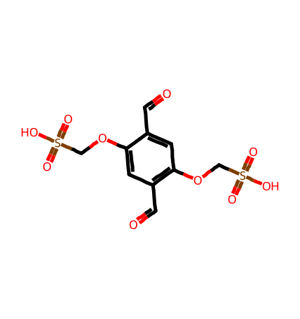 O=Cc1cc(OCS(=O)(=O)O)c(C=O)cc1OCS(=O)(=O)O